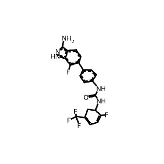 Nc1n[nH]c2c(F)c(-c3ccc(NC(=O)NC4CC(C(F)(F)F)=CC=C4F)cc3)ccc12